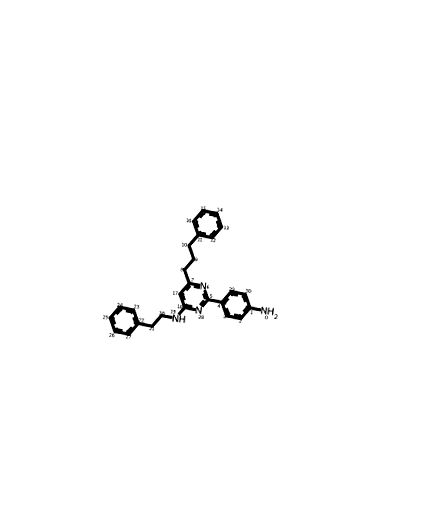 Nc1ccc(-c2nc(CCCc3ccccc3)cc(NCCc3ccccc3)n2)cc1